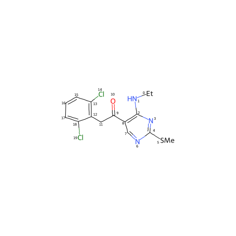 CCNc1nc(SC)ncc1C(=O)Cc1c(Cl)cccc1Cl